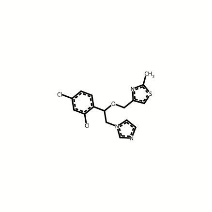 Cc1nc(COC(Cn2ccnc2)c2ccc(Cl)cc2Cl)cs1